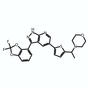 CC(c1ccc(-c2cnc3[nH]nc(-c4cccc5c4OC(F)(F)O5)c3c2)s1)N1CCOCC1